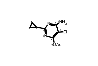 CC(=O)Oc1nc(C2CC2)nc(N)c1Cl